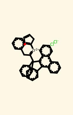 C1=CC[C]([Zr+2](=[C](Cc2ccccc2)Cc2ccccc2)[c]2cccc3c2c2c(c4ccccc43)-c3ccccc3C2)=C1.[Cl-].[Cl-]